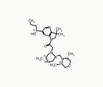 CCC[C@@H](O)c1cnc2c(c1)N(C(=O)CN1C[C@@H](C)NC[C@@H]1CN1[C@H](C)COC[C@H]1C)CC2(C)C